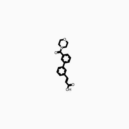 O=C(O)/C=C/c1cccc(-c2cccc(C(=O)N3CCOCC3)c2)c1